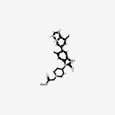 CNC(=O)CN1CCC(n2c(=O)[nH]c3cc(-c4cc(C)c5ncnn5c4)c(C)cc32)CC1